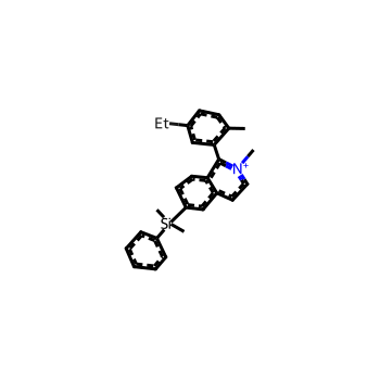 CCc1ccc(C)c(-c2c3ccc([Si](C)(C)c4ccccc4)cc3cc[n+]2C)c1